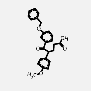 COc1ccc(C(CCC(=O)O)C(=O)c2cccc(OCc3ccccc3)c2)cc1